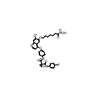 COc1cc2nccc(Oc3ccc(NC(=O)C4(C(=O)Nc5ccc(F)cc5)CC4)cc3)c2cc1OCCCCCCC(=O)NO